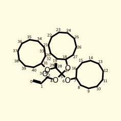 C=CC(=O)OC(OC1CCCCCCCCC1)(OC1CCCCCCCCC1)C(=C)OC1CCCCCCCCC1